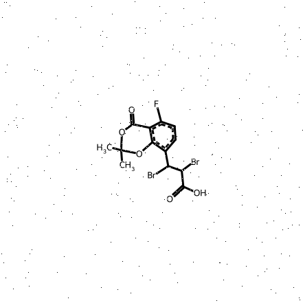 CC1(C)OC(=O)c2c(F)ccc(C(Br)C(Br)C(=O)O)c2O1